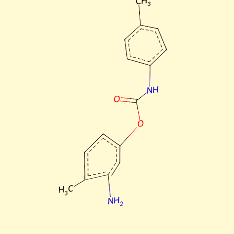 Cc1ccc(NC(=O)Oc2ccc(C)c(N)c2)cc1